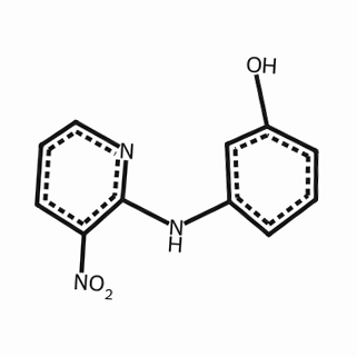 O=[N+]([O-])c1cccnc1Nc1cccc(O)c1